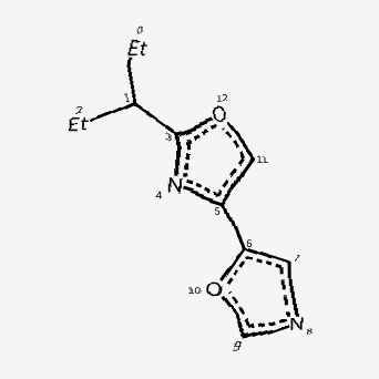 CCC(CC)c1nc(-c2cnco2)co1